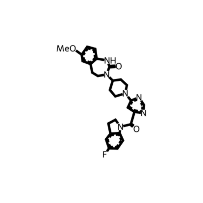 COc1ccc2c(c1)CCN(C1CCN(c3cc(C(=O)N4CCc5cc(F)ccc54)ncn3)CC1)C(=O)N2